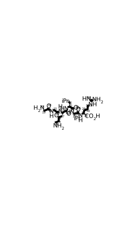 CC(C)C[C@H](NC(=O)[C@H](CCCCN)NC(=O)CNC(=O)CN)C(=O)N[C@H](C(=O)N[C@@H](CCCNC(=N)N)C(=O)O)C(C)C